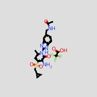 CC(=O)NCc1ccc2[nH]c(-n3c(C)cc(S(=O)(=O)CC4CC4)c(N)c3=O)nc2c1.O=C(O)C(F)(F)F